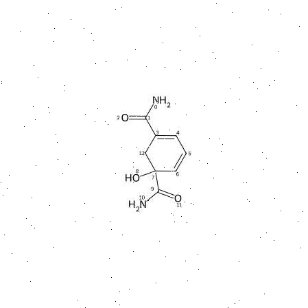 NC(=O)C1=CC=CC(O)(C(N)=O)C1